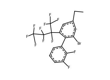 CCc1[c]c(Br)c(-c2cccc(F)c2F)c(C(F)(C(F)(F)F)C(F)(F)C(F)(F)F)c1